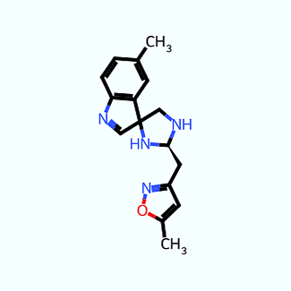 Cc1ccc2c(c1)C1(C=N2)CN[C@@H](Cc2cc(C)on2)N1